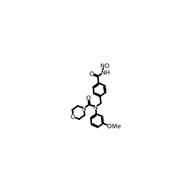 COc1cccc(N(Cc2ccc(C(=O)NN=O)cc2)C(=O)N2CCOCC2)c1